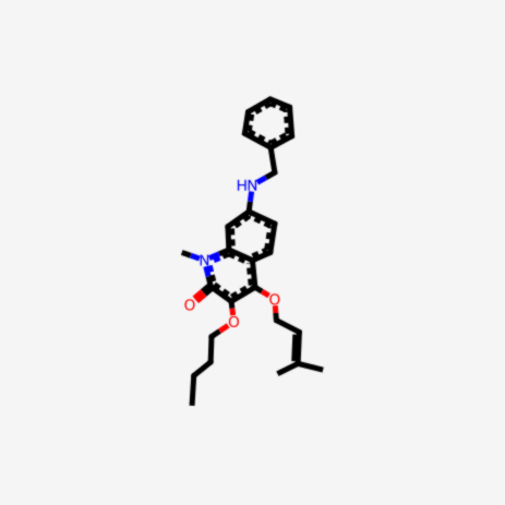 CCCCOc1c(OCC=C(C)C)c2ccc(NCc3ccccc3)cc2n(C)c1=O